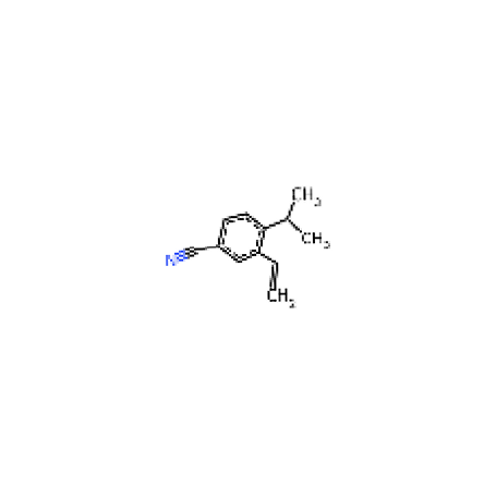 C=Cc1cc(C#N)ccc1C(C)C